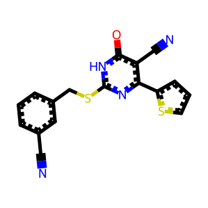 N#Cc1cccc(CSc2nc(-c3cccs3)c(C#N)c(=O)[nH]2)c1